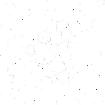 CCOc1cc(-n2c(C)nc3cccc(C(=O)OC(C)OC(=O)OC4CCCCC4)c32)ccc1-c1ccccc1-c1nnn[nH]1